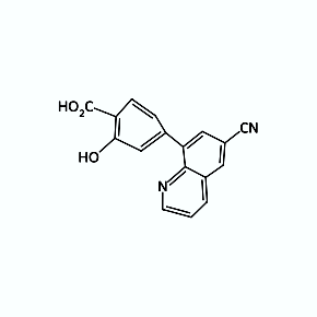 N#Cc1cc(-c2ccc(C(=O)O)c(O)c2)c2ncccc2c1